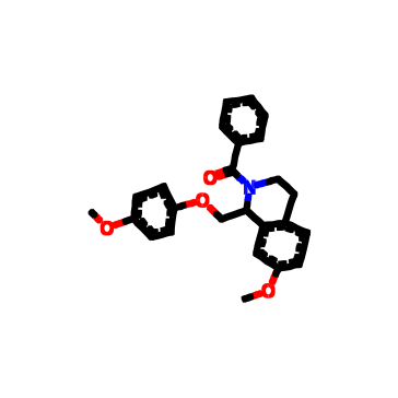 COc1ccc(OCC2c3cc(OC)ccc3CCN2C(=O)c2ccccc2)cc1